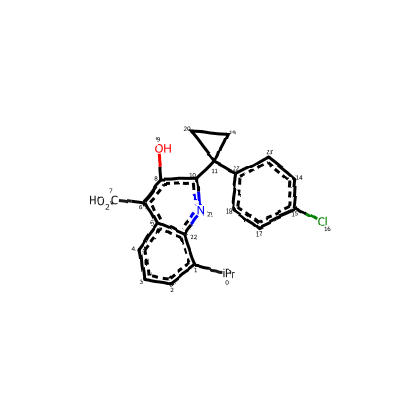 CC(C)c1cccc2c(C(=O)O)c(O)c(C3(c4ccc(Cl)cc4)CC3)nc12